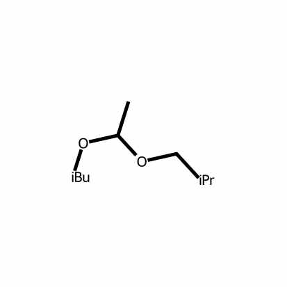 CCC(C)OC(C)OCC(C)C